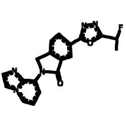 CC(F)c1nnc(-c2ccc3c(c2)C(=O)N(c2cccn4ccnc24)C3)o1